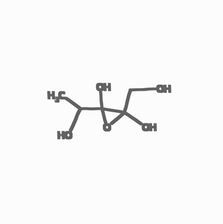 CC(O)C1(O)OC1(O)CO